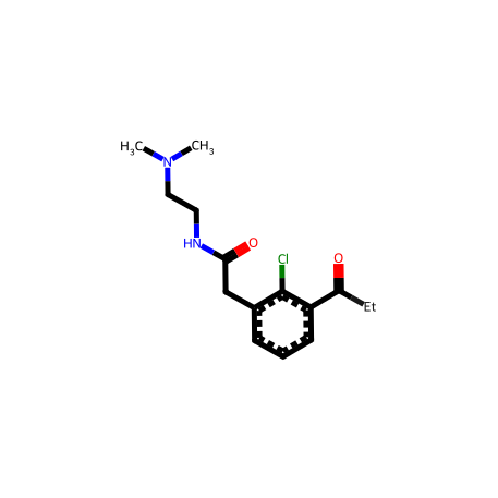 CCC(=O)c1cccc(CC(=O)NCCN(C)C)c1Cl